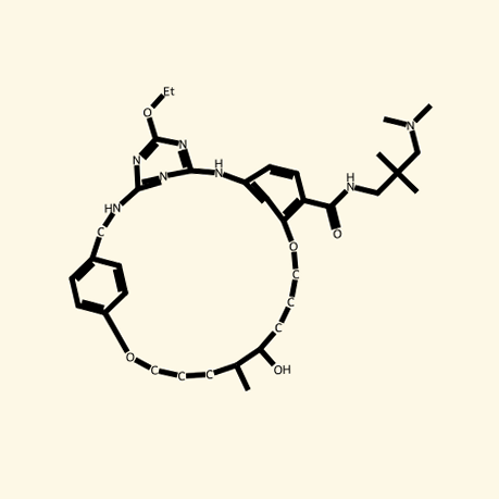 CCOc1nc2nc(n1)Nc1ccc(C(=O)NCC(C)(C)CN(C)C)c(c1)OCCCC(O)C(C)CCCOc1ccc(cc1)CN2